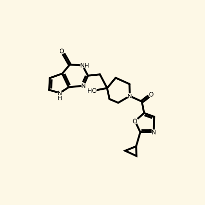 O=C(c1cnc(C2CC2)o1)N1CCC(O)(Cc2nc3[nH]ccc3c(=O)[nH]2)CC1